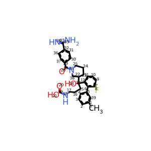 Cc1cccc(-c2c(F)cccc2C(O)(CCCNC(=O)O)C2CCCN(C(=O)c3ccc(C(=N)N)cc3)C2)c1